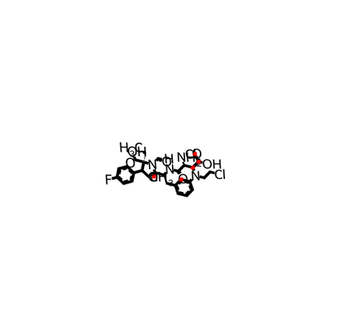 CCC(c1ccc(F)cc1)[C@@](CC)(C(=O)O)N(C=O)C(=O)[C@H](Cc1cccc(N(CCCl)CCCl)c1)NC(=O)[C@@H](N)CC(=O)O